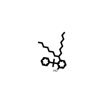 CCCCCCCC(CCCCCCC)c1cccc(O)c1C(C)(C)c1ccccc1